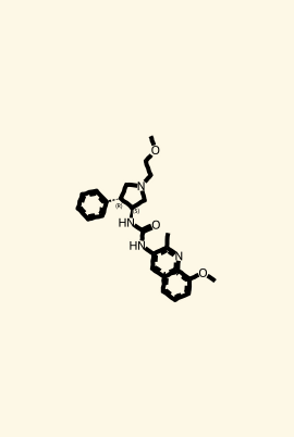 COCCN1C[C@@H](NC(=O)Nc2cc3cccc(OC)c3nc2C)[C@H](c2ccccc2)C1